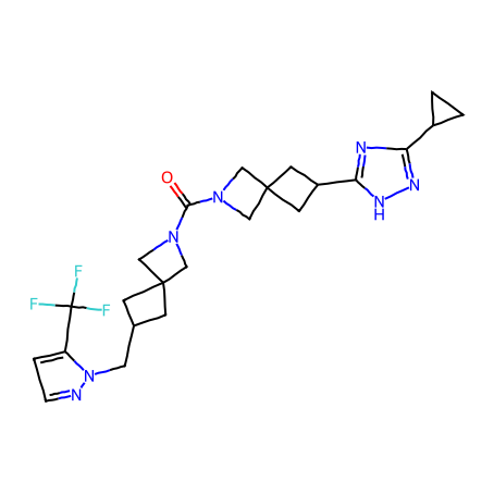 O=C(N1CC2(CC(Cn3nccc3C(F)(F)F)C2)C1)N1CC2(CC(c3nc(C4CC4)n[nH]3)C2)C1